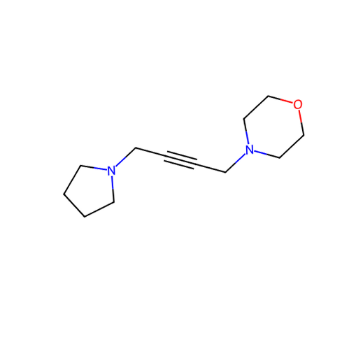 C(#CCN1CCOCC1)CN1CCCC1